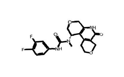 CN(C(=O)Nc1ccc(F)c(F)c1)[C@@H]1COCc2[nH]c(=O)c3c(c21)CCOC3